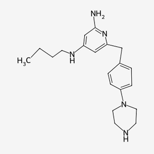 CCCCNc1cc(N)nc(Cc2ccc(N3CCNCC3)cc2)c1